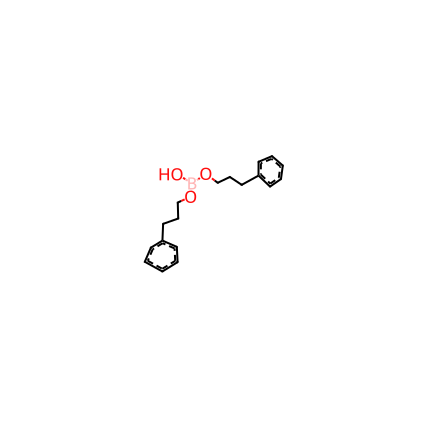 OB(OCCCc1ccccc1)OCCCc1ccccc1